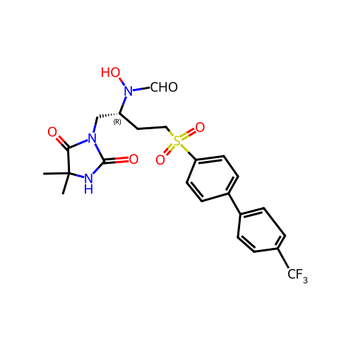 CC1(C)NC(=O)N(C[C@@H](CCS(=O)(=O)c2ccc(-c3ccc(C(F)(F)F)cc3)cc2)N(O)C=O)C1=O